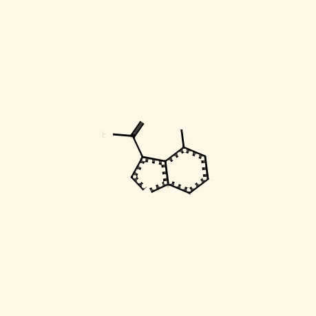 CCC(=O)c1csc2cccc(F)c12